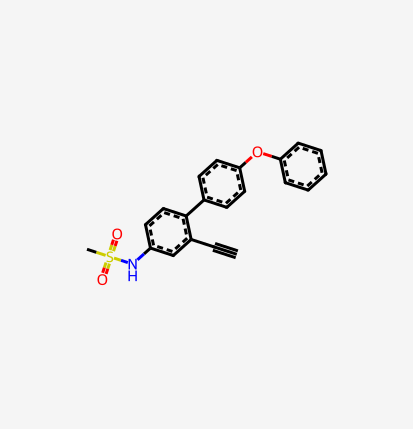 C#Cc1cc(NS(C)(=O)=O)ccc1-c1ccc(Oc2ccccc2)cc1